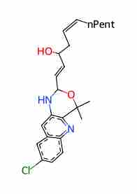 CCCCC/C=C\CC(O)/C=C/C1Nc2cc3cc(Cl)ccc3nc2C(C)(C)O1